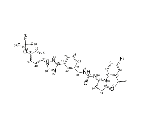 CC(C)c1cc(F)ccc1N1C(=O)CSC1=NC(=O)NCc1cccc(-c2ncn(-c3ccc(OC(F)(F)F)cc3)n2)c1